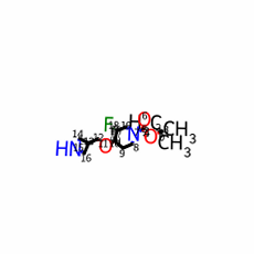 CC(C)(C)OC(=O)N1CC[C@@H](OCC2CNC2)[C@H](F)C1